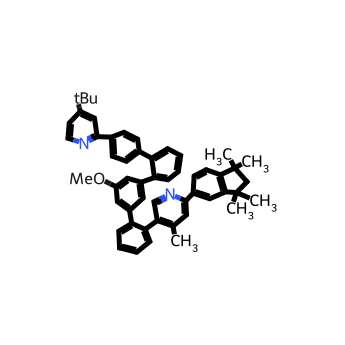 COc1cc(-c2ccccc2-c2ccc(-c3cc(C(C)(C)C)ccn3)cc2)cc(-c2ccccc2-c2cnc(-c3ccc4c(c3)C(C)(C)CC4(C)C)cc2C)c1